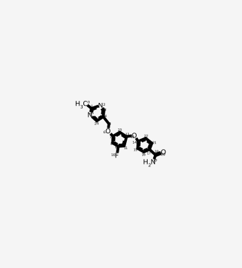 Cc1ncc(COc2cc(F)cc(Oc3ccc(C(N)=O)cc3)c2)cn1